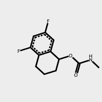 CNC(=O)OC1CCCc2c(F)cc(F)cc21